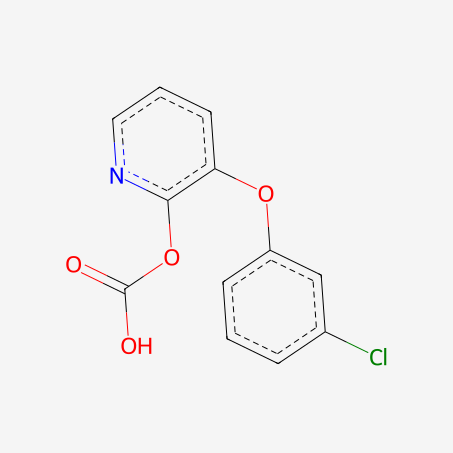 O=C(O)Oc1ncccc1Oc1cccc(Cl)c1